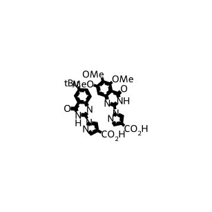 CC(C)(C)c1ccc2nc(-n3cc(C(=O)O)cn3)[nH]c(=O)c2c1.COc1cc2nc(-n3cc(C(=O)O)cn3)[nH]c(=O)c2c(OC)c1OC